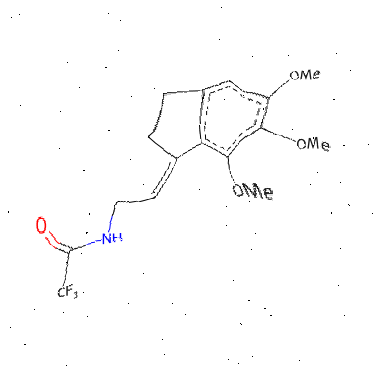 COc1cc2c(c(OC)c1OC)C(=CCNC(=O)C(F)(F)F)CC2